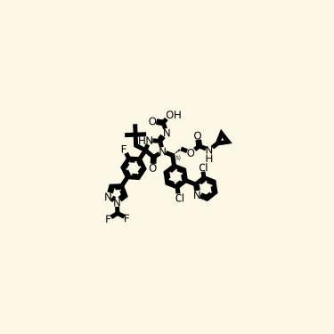 CC(C)(C)CC1(c2ccc(-c3cnn(C(F)F)c3)cc2F)NC(=NC(=O)O)N([C@H](COC(=O)NC2CC2)c2ccc(Cl)c(-c3ncccc3Cl)c2)C1=O